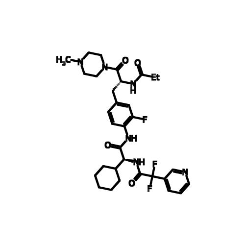 CCC(=O)N[C@H](Cc1ccc(NC(=O)[C@@H](NC(=O)C(F)(F)c2cccnc2)C2CCCCC2)c(F)c1)C(=O)N1CCN(C)CC1